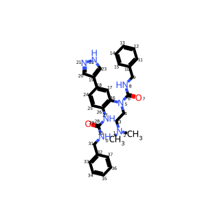 CN(C)CCN(C(=O)NCc1ccccc1)c1cc(-c2cn[nH]c2)ccc1NC(=O)NCc1ccccc1